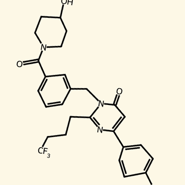 O=C(c1cccc(Cn2c(CCCC(F)(F)F)nc(-c3ccc(Cl)cc3)cc2=O)c1)N1CCC(O)CC1